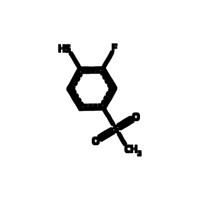 CS(=O)(=O)c1ccc(S)c(F)c1